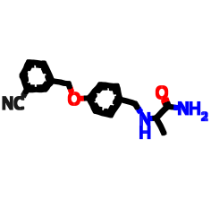 CC(NCc1ccc(OCc2cccc(C#N)c2)cc1)C(N)=O